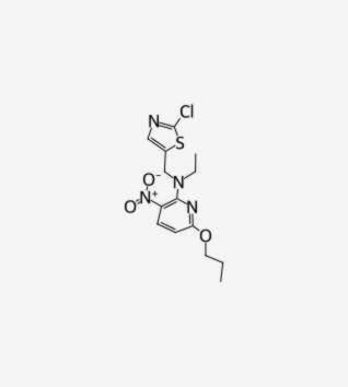 CCCOc1ccc([N+](=O)[O-])c(N(CC)Cc2cnc(Cl)s2)n1